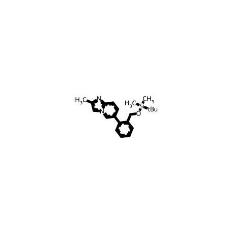 Cc1cn2cc(-c3ccccc3CO[Si](C)(C)C(C)(C)C)ccc2n1